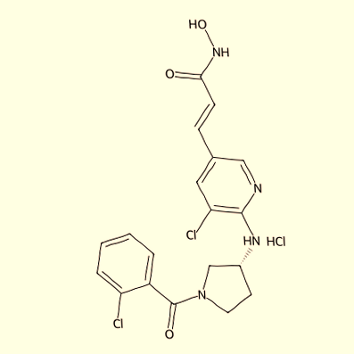 Cl.O=C(/C=C/c1cnc(N[C@@H]2CCN(C(=O)c3ccccc3Cl)C2)c(Cl)c1)NO